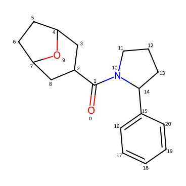 O=C(C1CC2CCC(C1)O2)N1CCCC1c1ccccc1